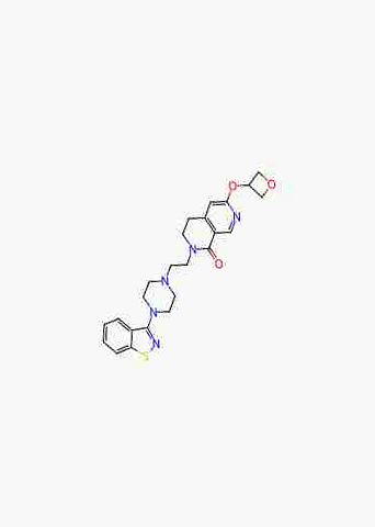 O=C1c2cnc(OC3COC3)cc2CCN1CCN1CCN(c2nsc3ccccc23)CC1